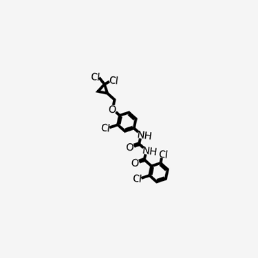 O=C(NC(=O)c1c(Cl)cccc1Cl)Nc1ccc(OCC2CC2(Cl)Cl)c(Cl)c1